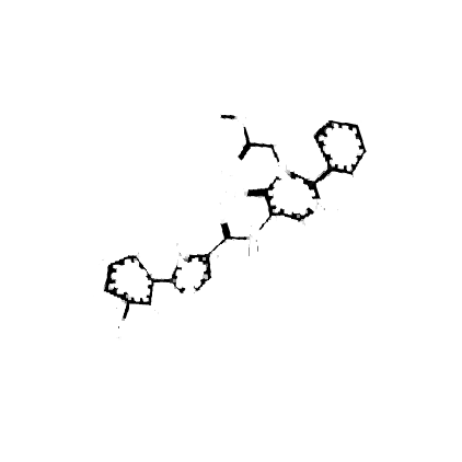 COC(=O)Cn1c(-c2ccccc2)ncc(NC(=O)c2coc(-c3cccc(F)c3)n2)c1=O